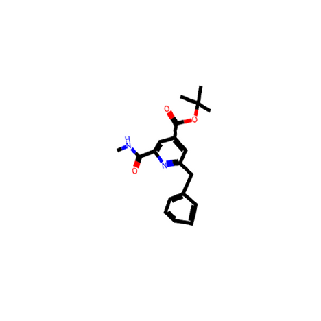 CNC(=O)c1cc(C(=O)OC(C)(C)C)cc(Cc2ccccc2)n1